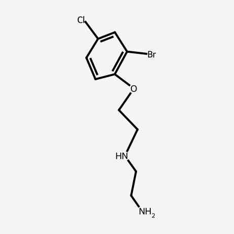 NCCNCCOc1ccc(Cl)cc1Br